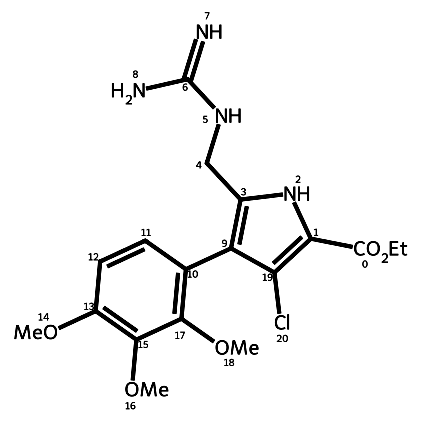 CCOC(=O)c1[nH]c(CNC(=N)N)c(-c2ccc(OC)c(OC)c2OC)c1Cl